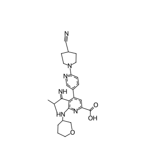 CC(C)C(=N)c1c(-c2ccc(N3CCC(C#N)CC3)nc2)cc(C(=O)O)nc1NC1CCCOC1